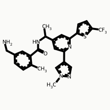 Cc1ccc(CN)cc1C(=O)NC(C)c1cc(-c2cnn(C)c2)nc(-c2ccc(C(F)(F)F)s2)c1